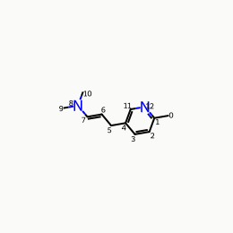 Cc1ccc(CC=CN(C)C)cn1